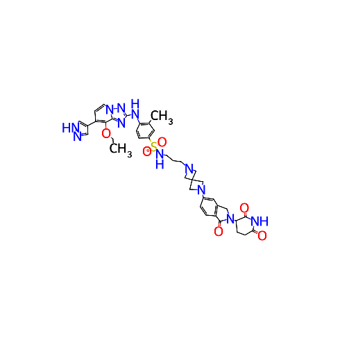 CCOc1c(-c2cn[nH]c2)ccn2nc(Nc3ccc(S(=O)(=O)NCCCN4CC5(C4)CN(c4ccc6c(c4)CN(C4CCC(=O)NC4=O)C6=O)C5)cc3C)nc12